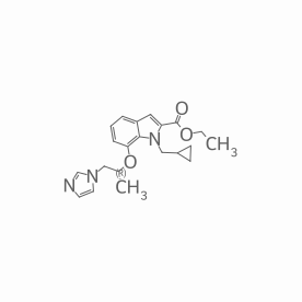 CCOC(=O)c1cc2cccc(O[C@H](C)Cn3ccnc3)c2n1CC1CC1